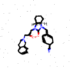 N#Cc1ccc(CN2C(=O)N(CC(O)CN3CCc4ccccc4C3)[C@@H]3CCCC[C@H]32)cc1